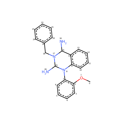 COc1ccccc1N1c2ccccc2C(N)N(Cc2ccccc2)C1N